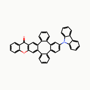 O=c1c2ccccc2oc2cc3c(cc12)-c1ccccc1-c1cc(-n2c4ccccc4c4ccccc42)ccc1-c1ccccc1-3